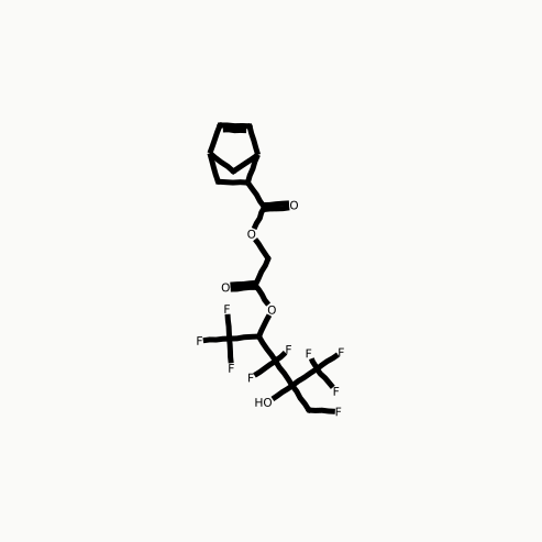 O=C(COC(=O)C1CC2C=CC1C2)OC(C(F)(F)F)C(F)(F)C(O)(CF)C(F)(F)F